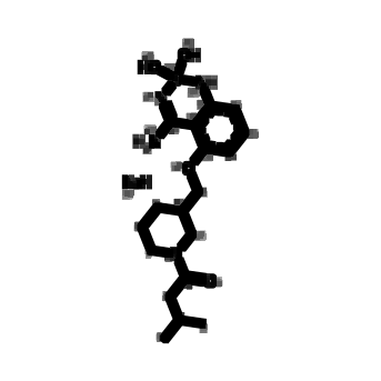 CC(C)CC(=O)N1CCCC(COc2cccc3c2C(N)=NS(O)(O)N3)C1.[NaH]